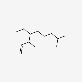 COC(CCCC(C)C)C(C)C=O